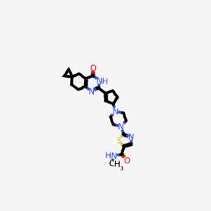 CNC(=O)c1cnc(N2CCN(C3C=C(c4nc5c(c(=O)[nH]4)CC4(CC5)CC4)CC3)CC2)s1